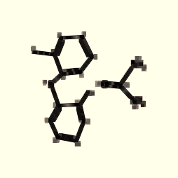 Cc1ccccc1Sc1ccccc1C.NC(N)=O